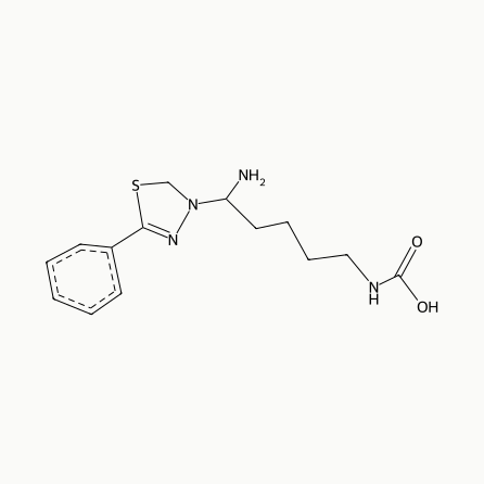 NC(CCCCNC(=O)O)N1CSC(c2ccccc2)=N1